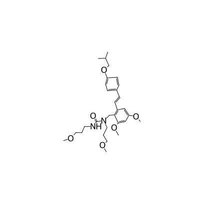 COCCCNC(=O)N(CCCOC)Cc1c(/C=C/c2ccc(OCC(C)C)cc2)cc(OC)cc1OC